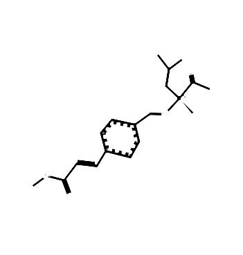 CC(C)C[C@@](C)(NCc1ccc(C=CC(=O)NO)cc1)C(=O)O